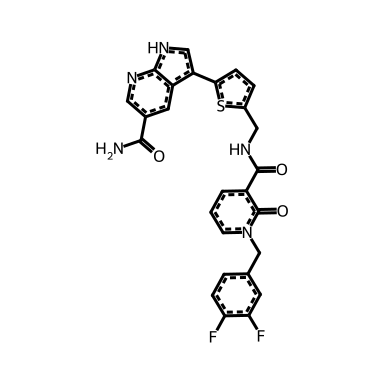 NC(=O)c1cnc2[nH]cc(-c3ccc(CNC(=O)c4cccn(Cc5ccc(F)c(F)c5)c4=O)s3)c2c1